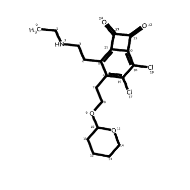 CCNCCc1c(CCOC2CCCCO2)c(Cl)c(Cl)c2c(=O)c(=O)c12